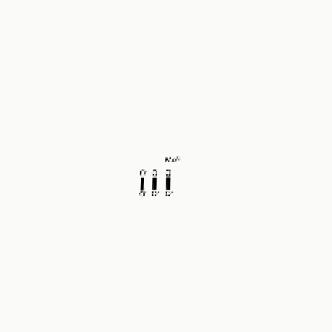 [Mo+6].[O-][O-].[O-][O-].[O-][O-]